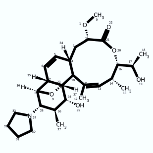 CO[C@H]1C[C@H]2C=C[C@H]3[C@H]4O[C@]2(C(C)=C[C@@H](C)[C@@H]([C@@H](C)O)OC1=O)[C@@H]3[C@H](O)[C@@H](C)[C@@H]4N1CCCC1